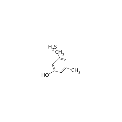 Cc1cc(C)cc(O)c1.S